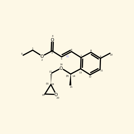 CCOC(=O)/C=C/c1cc(C)ccc1[C@@H](C)OC[C@H]1CO1